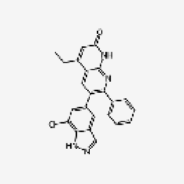 CCc1cc(=O)[nH]c2nc(-c3ccccc3)c(-c3cc(Cl)c4[nH]ncc4c3)cc12